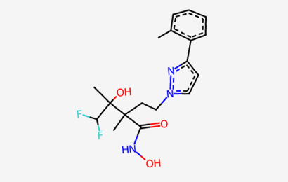 Cc1ccccc1-c1ccn(CCC(C)(C(=O)NO)C(C)(O)C(F)F)n1